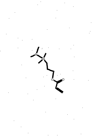 C=CC(=O)OCCC[Si](C)(C)N(C)C